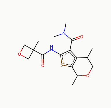 CC1COC(C)c2sc(NC(=O)C3(C)COC3)c(C(=O)N(C)C)c21